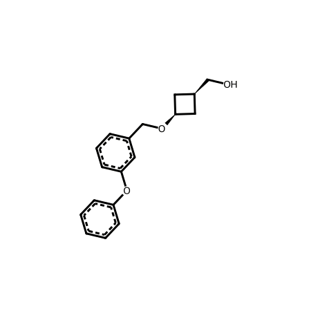 OC[C@H]1C[C@@H](OCc2cccc(Oc3ccccc3)c2)C1